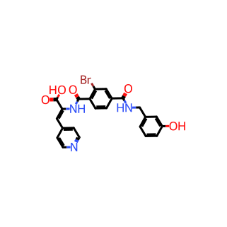 O=C(O)C(=Cc1ccncc1)NC(=O)c1ccc(C(=O)NCc2cccc(O)c2)cc1Br